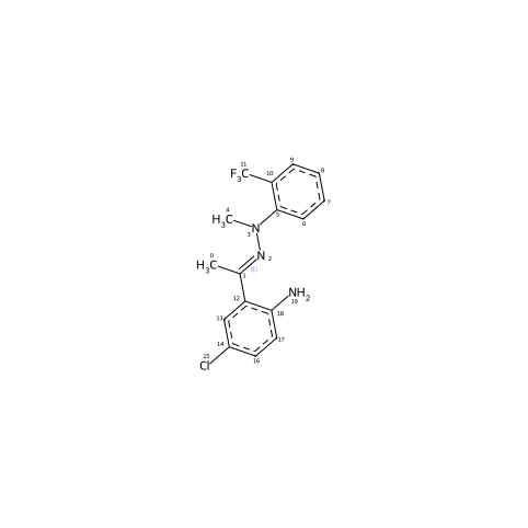 C/C(=N\N(C)c1ccccc1C(F)(F)F)c1cc(Cl)ccc1N